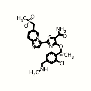 CNCc1ccc([C@@H](C)Oc2nc(-c3cnc4ccc(CS(C)(=O)=O)cn34)sc2C(N)=O)c(Cl)c1